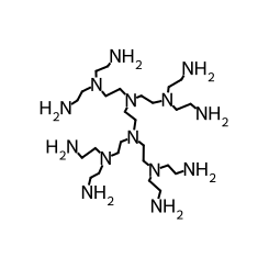 NCCN(CCN)CCN(CCN(CCN)CCN)CCN(CCN(CCN)CCN)CCN(CCN)CCN